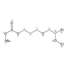 CCCCOC(=O)OCCCOCC(CC)OCC